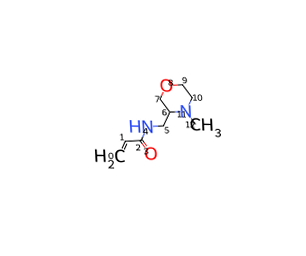 C=CC(=O)NCC1COCCN1C